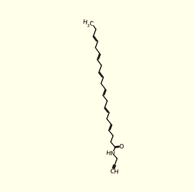 C#CCNC(=O)CCC=CCC=CCC=CCC=CCC=CCC=CCC